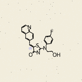 O=C1N=C(N(CCO)c2ccc(F)cc2)S/C1=C\c1ccc2ncccc2c1